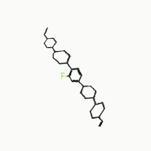 C=CC1CCC(C2CCC(c3ccc(C4CCC(C5CCC(CC)CC5)CC4)c(F)c3)CC2)CC1